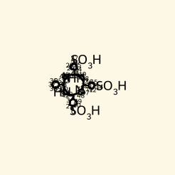 O=S(=O)(O)c1ccc(-c2c3nc(c(-c4ccc(S(=O)(=O)O)cc4)c4ccc([nH]4)c(-c4ccc(S(=O)(=O)O)cc4)c4nc(c(-c5ccccc5)c5ccc2[nH]5)C=C4)C=C3)cc1